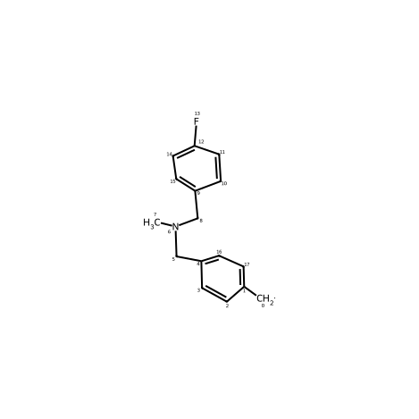 [CH2]c1ccc(CN(C)Cc2ccc(F)cc2)cc1